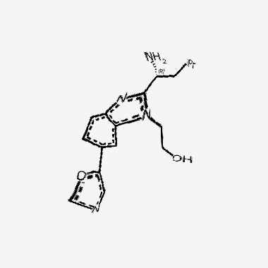 CC(C)C[C@@H](N)c1nc2ccc(-c3cnco3)cc2n1CCO